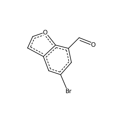 O=Cc1cc(Br)cc2ccoc12